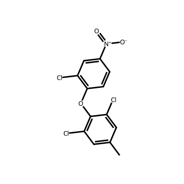 Cc1cc(Cl)c(Oc2ccc([N+](=O)[O-])cc2Cl)c(Cl)c1